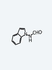 O=[C]Nn1ccc2ccccc21